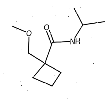 COCC1(C(=O)NC(C)C)CCC1